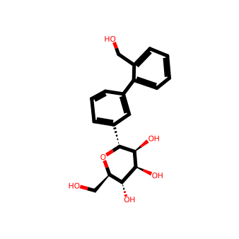 OCc1ccccc1-c1cccc([C@H]2O[C@H](CO)[C@@H](O)[C@H](O)[C@@H]2O)c1